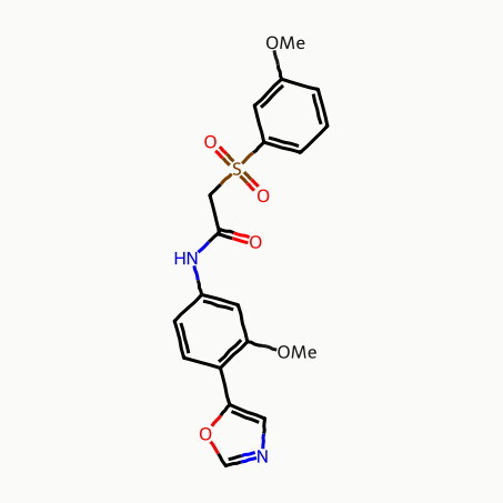 COc1cccc(S(=O)(=O)CC(=O)Nc2ccc(-c3cnco3)c(OC)c2)c1